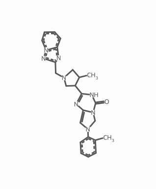 Cc1ccccc1N1C=C2N=C(C3CN(Cc4nc5ccccn5n4)CC3C)NC(=O)N2C1